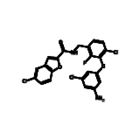 Nc1cc(Cl)cc(Oc2c(Cl)ccc(CNC(=O)c3cc4cc(Cl)ccc4o3)c2F)c1